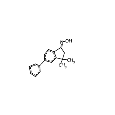 CC1(C)CC(=NO)c2ccc(-c3ccccc3)cc21